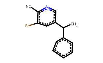 CC(c1ccccc1)c1cnc(C#N)c(Br)c1